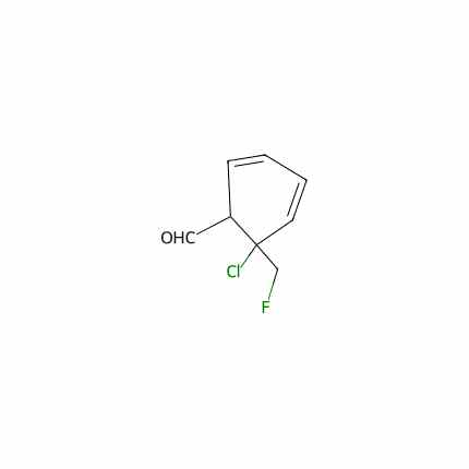 O=CC1C=CC=CC1(Cl)CF